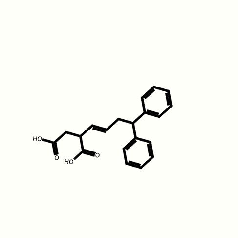 O=C(O)CC(C=CCC(c1ccccc1)c1ccccc1)C(=O)O